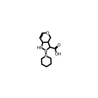 O=C(O)C1C2COC=CC2NN1N1CCCCC1